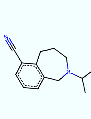 CC(C)N1CCCc2c(C#N)cccc2C1